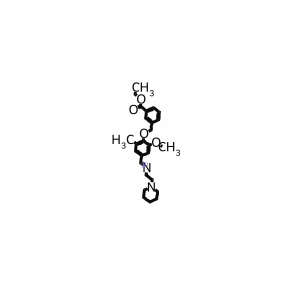 CCOC(=O)c1cccc(COc2c(C)cc(/C=N/CCN3CCCCC3)cc2OC)c1